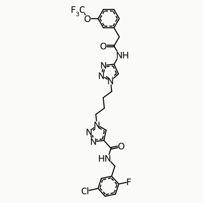 O=C(Cc1cccc(OC(F)(F)F)c1)Nc1cn(CCCCn2cc(C(=O)NCc3cc(Cl)ccc3F)nn2)nn1